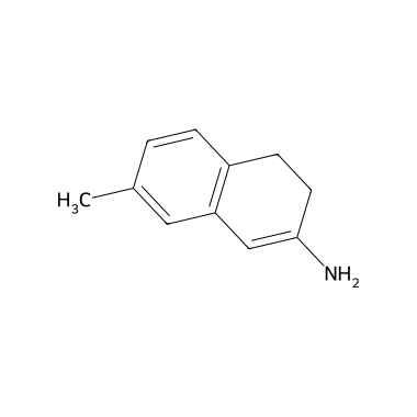 Cc1ccc2c(c1)C=C(N)CC2